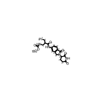 CC(C)CC(CNC(=O)OC(C)(C)C)C(=O)Nc1ccc2c(c1)CN(C1CCC(=O)NC1=O)C2=O